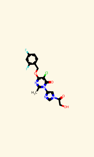 Cc1nc(OCc2ccc(F)cc2F)c(Cl)c(=O)n1-c1cn(C(=O)CO)cn1